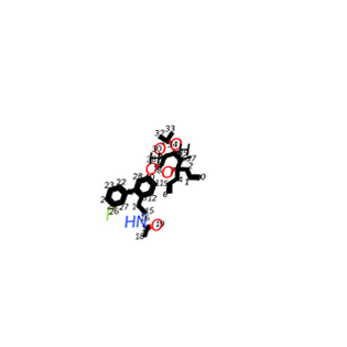 C=CCC1(CC=C)OC(Oc2ccc(CCNC(C)=O)c(-c3cccc(F)c3)c2)[C@@H]2OC(C)(C)O[C@@H]2[C@H]1C